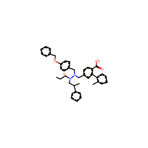 CCC(=O)N(CC(C)c1ccccc1)N(Cc1ccc(OCc2ccccc2)cc1)Cc1ccc(C(=O)O)c(-c2ccccc2C)c1